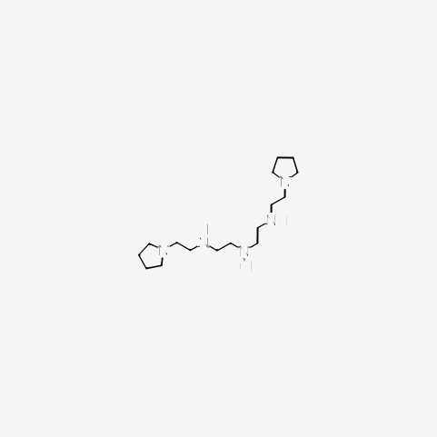 CN(CCNCCN1CCCC1)CCNCCN1CCCC1